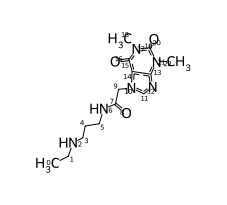 CCNCCCNC(=O)Cn1cnc2c1c(=O)n(C)c(=O)n2C